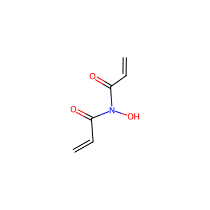 C=CC(=O)N(O)C(=O)C=C